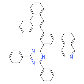 c1ccc(-c2nc(-c3ccccc3)nc(-c3cc(-c4cccc5cnccc45)cc(-c4cc5ccccc5c5ccccc45)c3)n2)cc1